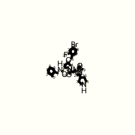 Cc1ccccc1CNC(=O)[C@@H]1C[C@@H](OCc2ccc(Br)cc2F)CN1C(=O)[C@@H](CCC1CCNCC1)NS(C)(=O)=O